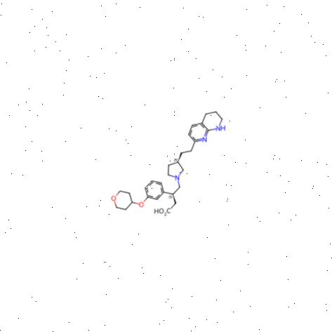 O=C(O)C[C@H](CN1CC[C@@H](CCc2ccc3c(n2)NCCC3)C1)c1cccc(OC2CCOCC2)c1